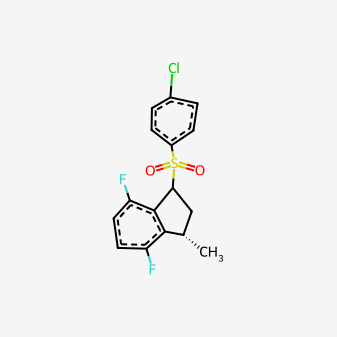 C[C@H]1CC(S(=O)(=O)c2ccc(Cl)cc2)c2c(F)ccc(F)c21